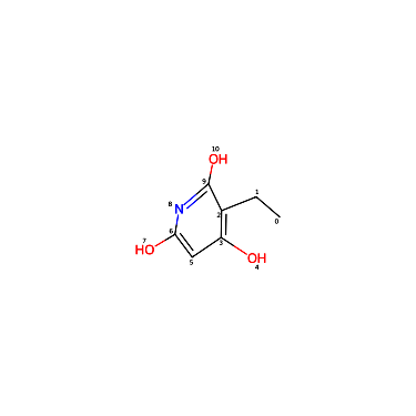 CCc1c(O)cc(O)nc1O